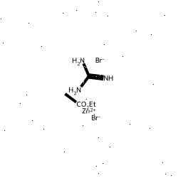 CCOC(C)=O.N=C(N)N.[Br-].[Br-].[Zn+2]